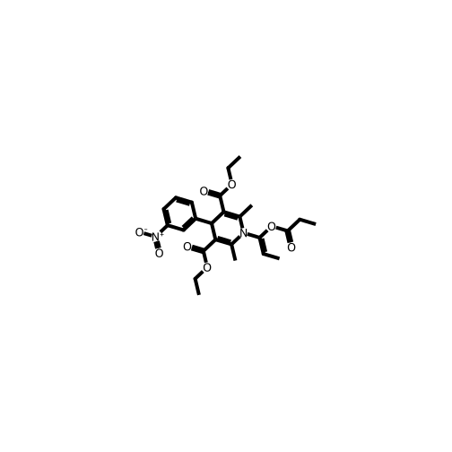 CC=C(OC(=O)CC)N1C(C)=C(C(=O)OCC)C(c2cccc([N+](=O)[O-])c2)C(C(=O)OCC)=C1C